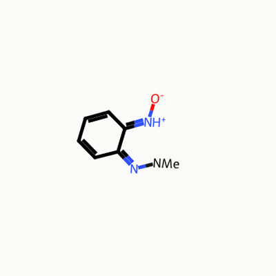 CN/N=C1/C=CC=C/C1=[NH+]\[O-]